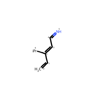 C=C/C(=C/C=N)C(C)C